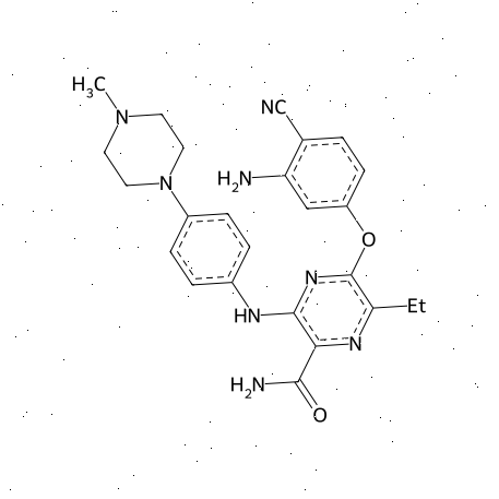 CCc1nc(C(N)=O)c(Nc2ccc(N3CCN(C)CC3)cc2)nc1Oc1ccc(C#N)c(N)c1